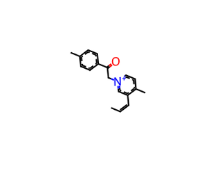 C/C=C\c1c[n+](CC(=O)c2ccc(C)cc2)ccc1C